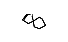 [C]1=CCC2(CCCCC2)O1